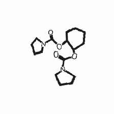 O=C(OC1CCCCC1OC(=O)N1CCCC1)N1CCCC1